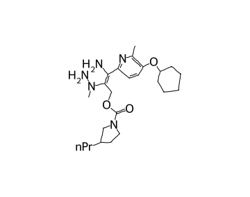 CCCC1CCN(C(=O)OC/C(=C(/N)c2ccc(OC3CCCCC3)c(C)n2)N(C)N)C1